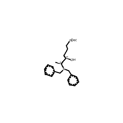 CCCCCCCCCCCCC[C@@H](O)[C@H](C)N(Cc1ccccc1)Cc1ccccc1